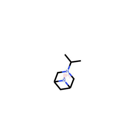 BN1C2CC1CN(C(C)C)C2